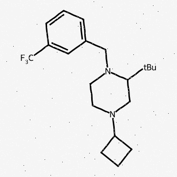 CC(C)(C)C1CN(C2CCC2)CCN1Cc1cccc(C(F)(F)F)c1